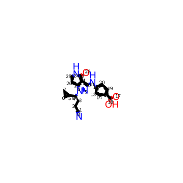 N#CCC[C@@H](C1CC1)n1nc(Nc2ccc(C(=O)O)cc2)c2c(=O)[nH]ccc21